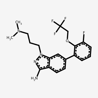 CN(C)CCCn1nc(N)c2ccc(-c3cccc(F)c3OCC(F)(F)F)cc21